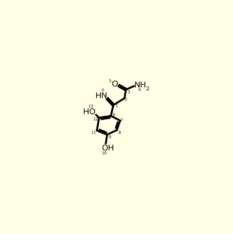 N=C(CC(N)=O)c1ccc(O)cc1O